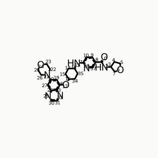 O=C(NC1CCOC1)c1ccc(NC2CCC(Oc3cc(N4CCOCC4)cc4nccnc34)CC2)nc1